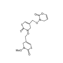 CON1CC(CON2CC(CON3CC=COC3=O)=CSC2=S)=CSC1=O